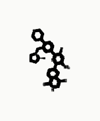 C[C@@H]1CCCN1Cc1cc(-c2nc(-c3ccc4c(=O)[nH]cc(Cl)c4c3)c(N)nc2F)ccc1C1CCOCC1